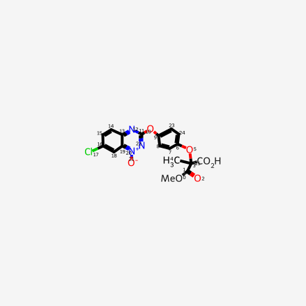 COC(=O)C(C)(Oc1ccc(Oc2nc3ccc(Cl)cc3[n+]([O-])n2)cc1)C(=O)O